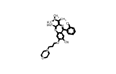 CSC1=Nc2cc(OCCCN3CCOCC3)c(C#N)cc2C(c2ccccc2Cl)=NC1=C(C)N(C)C